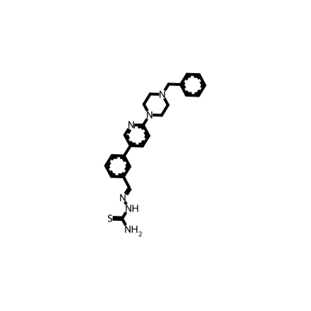 NC(=S)NN=Cc1cccc(-c2ccc(N3CCN(Cc4ccccc4)CC3)nc2)c1